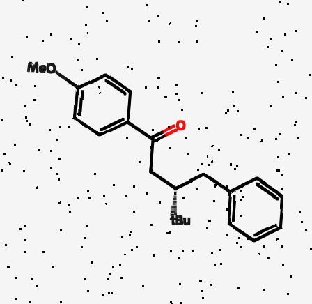 COc1ccc(C(=O)C[C@H](Cc2ccccc2)C(C)(C)C)cc1